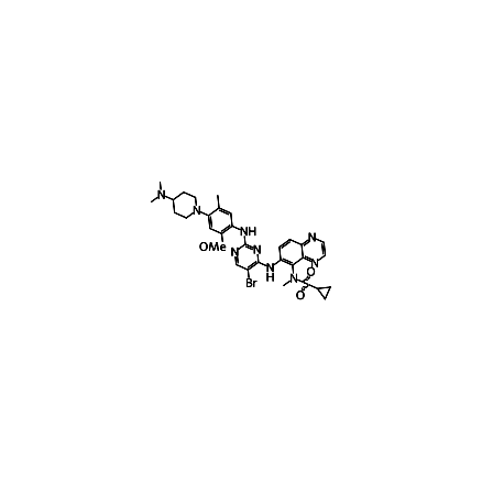 COc1cc(N2CCC(N(C)C)CC2)c(C)cc1Nc1ncc(Br)c(Nc2ccc3nccnc3c2N(C)S(=O)(=O)C2CC2)n1